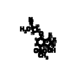 CS(=O)(=O)c1ccc(O[C@H]2C[C@](C)(C#N)C2)c2c1[C@H](O)C(F)(F)[C@@H]2F